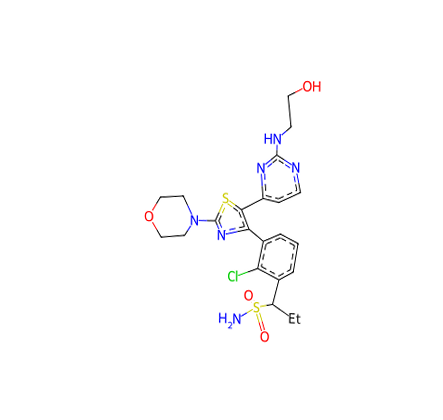 CCC(c1cccc(-c2nc(N3CCOCC3)sc2-c2ccnc(NCCO)n2)c1Cl)S(N)(=O)=O